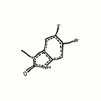 Cn1c(=O)[nH]c2cc(Br)c(F)cc21